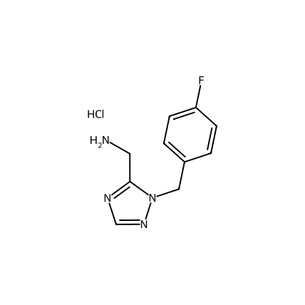 Cl.NCc1ncnn1Cc1ccc(F)cc1